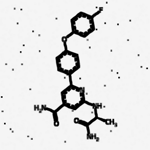 C[C@H](Nc1cc(C(N)=O)cc(-c2ccc(Oc3ccc(F)cc3)cc2)n1)C(N)=O